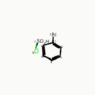 CC(=O)c1ccccc1.O=S(=O)(O)Cl